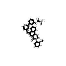 CCN(C)C(=O)Oc1cccc(-c2cc(Cc3cc4c(=O)n(C5CCCCC5O)cnc4c4ccccc34)ccn2)c1